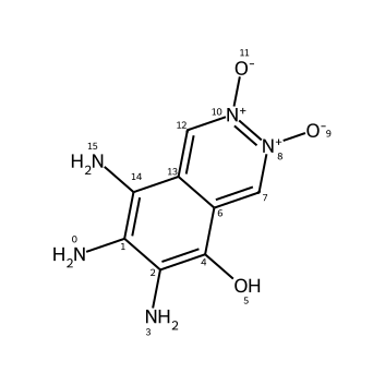 Nc1c(N)c(O)c2c[n+]([O-])[n+]([O-])cc2c1N